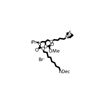 CCCCCCCCCCCCCCCCCCOC(=O)N(CC(COCCCC[n+]1ccsc1)OC(=O)OC)C(C)C.[Br-]